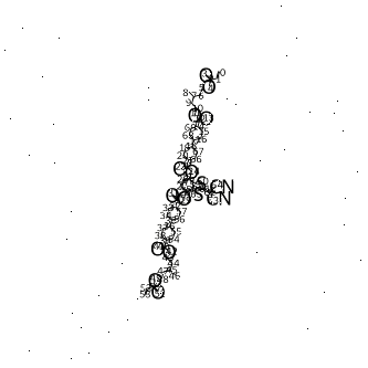 C=CC(=O)OCCC(C)CCOC(=O)C1CCC(C2CCC(C(=O)Oc3ccc(OC(=O)C4CCC(C5CCC(C(=O)OCCC(C)CCOC(=O)C=C)CC5)CC4)c4c3SC(=C(C#N)C#N)S4)CC2)CC1